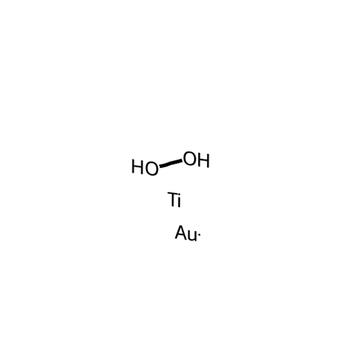 OO.[Au].[Ti]